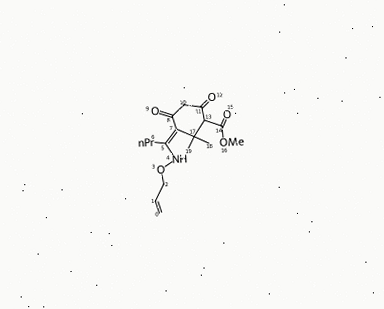 C=CCONC(CCC)=C1C(=O)CC(=O)C(C(=O)OC)C1(C)C